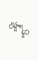 C=C(NCCc1c[nH]c2ccccc12)Nc1ccccc1